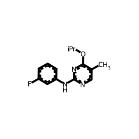 Cc1cnc(Nc2cccc(F)c2)nc1OC(C)C